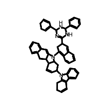 C1=CC(C2N=C(C3C=c4ccccc4=C(N4C5=Cc6ccccc6CC5C5C=CC(n6c7c(c8ccccc86)C=CCC7)CC54)C3)NC(c3ccccc3)N2)=CCC1